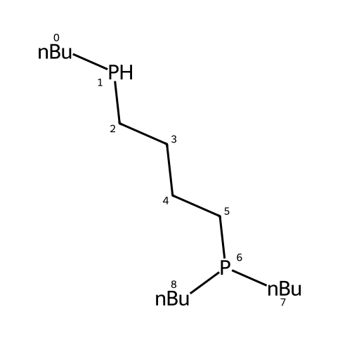 CCCCPCCCCP(CCCC)CCCC